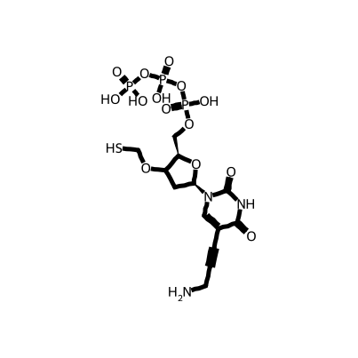 NCC#Cc1cn([C@H]2CC(OCS)[C@@H](COP(=O)(O)OP(=O)(O)OP(=O)(O)O)O2)c(=O)[nH]c1=O